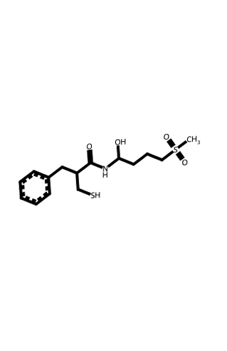 CS(=O)(=O)CCCC(O)NC(=O)C(CS)Cc1ccccc1